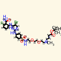 CN(C/C=C/C(=O)OC(C)(C)C)CCOCCOCCNS(=O)(=O)c1ccc(Nc2ncc(Br)c(Nc3cccc(F)c3C(N)=O)n2)cc1